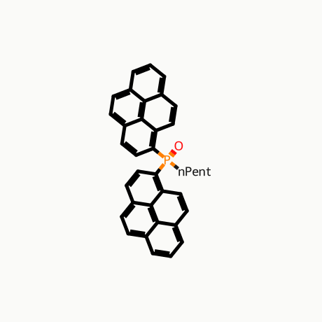 CCCCCP(=O)(c1ccc2ccc3cccc4ccc1c2c34)c1ccc2ccc3cccc4ccc1c2c34